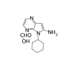 Nc1cc2nccnc2n1C1CCCCC1.O=CO